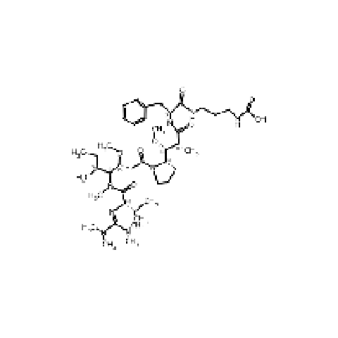 CC[C@H](C)[C@@H]([C@@H](CC(=O)N1CCC[C@H]1[C@H](OC)[C@@H](C)C(=O)N[C@@H](Cc1ccccc1)C(=O)NCCCNC(=O)O)OC)N(C)C(=O)[C@@H](N=C(N(C)C)N(C)C)C(C)C